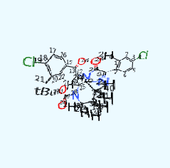 [2H]c1cc(Cl)ccc1C1=NC2(N(CC(=O)c3ccc(Cl)c(C)c3)C1=O)C([2H])([2H])N(C(=O)OC(C)(C)C)C([2H])([2H])C([2H])([2H])C2([2H])[2H]